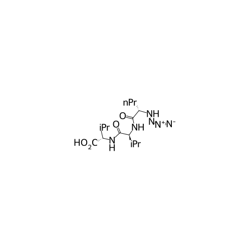 CCC[C@H](NN=[N+]=[N-])C(=O)N[C@H](C(=O)N[C@H](C(=O)O)C(C)C)C(C)C